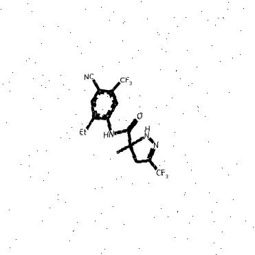 CCc1cc(C#N)c(C(F)(F)F)cc1NC(=O)C1(C)CC(C(F)(F)F)=NN1